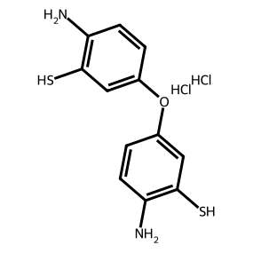 Cl.Cl.Nc1ccc(Oc2ccc(N)c(S)c2)cc1S